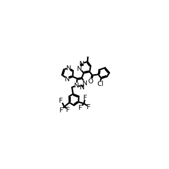 Cc1cc(C(=O)c2ccccc2Cl)c(-c2nnn(Cc3cc(C(F)(F)F)cc(C(F)(F)F)c3)c2-c2cnccn2)nn1